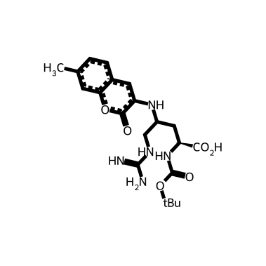 Cc1ccc2cc(NC(CNC(=N)N)C[C@H](NC(=O)OC(C)(C)C)C(=O)O)c(=O)oc2c1